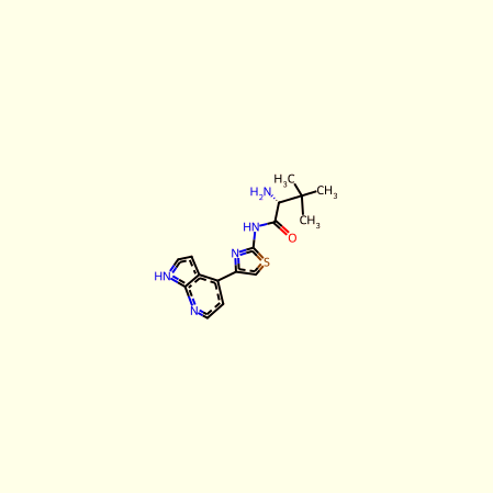 CC(C)(C)[C@@H](N)C(=O)Nc1nc(-c2ccnc3[nH]ccc23)cs1